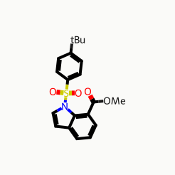 COC(=O)c1cccc2ccn(S(=O)(=O)c3ccc(C(C)(C)C)cc3)c12